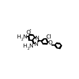 COc1cc2nc(-c3ccc(OCc4ccccc4)c(Cl)c3)nc(N)c2cc1N